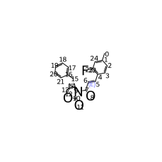 Cc1ccc(/C=C/C(=O)N2C(=O)OC[C@@H]2Cc2ccccc2)c(F)c1